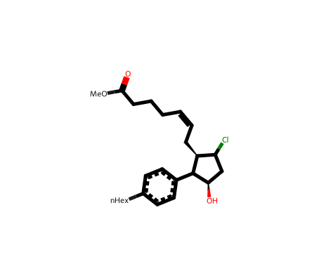 CCCCCCc1ccc(C2[C@@H](C/C=C\CCCC(=O)OC)C(Cl)C[C@H]2O)cc1